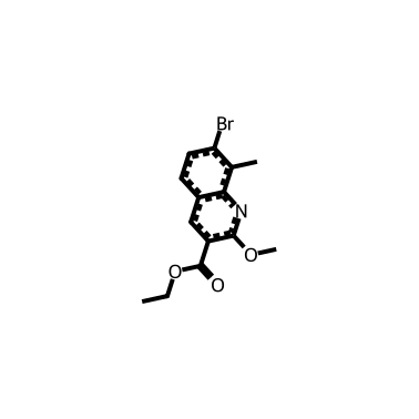 CCOC(=O)c1cc2ccc(Br)c(C)c2nc1OC